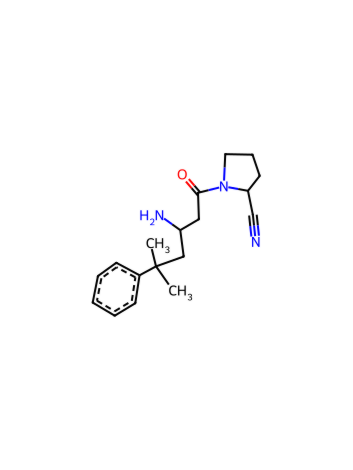 CC(C)(CC(N)CC(=O)N1CCCC1C#N)c1ccccc1